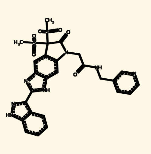 CS(=O)(=O)C1(S(C)(=O)=O)C(=O)N(CC(=O)NCc2cccnc2)c2cc3[nH]c(-c4n[nH]c5ccccc45)nc3cc21